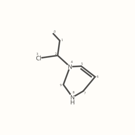 CCC(Cl)N1C=CCNC1